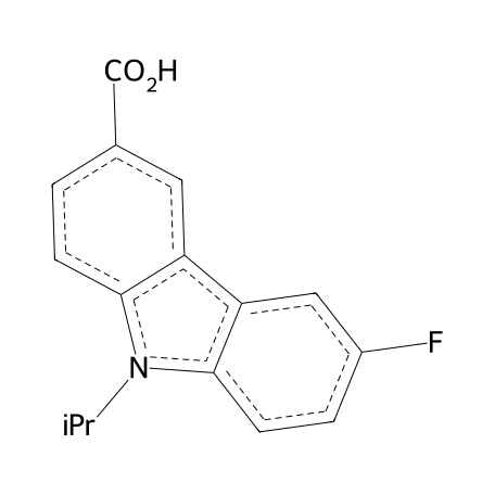 CC(C)n1c2ccc(F)cc2c2cc(C(=O)O)ccc21